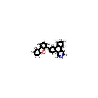 C1=CC2Oc3c(-c4ccc5c6cnccc6c6ccccc6c5c4)cccc3C2C=C1